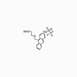 COCCOCc1c2ccccc2cc2ccccc12.O=S(=O)(O)C(F)(F)F